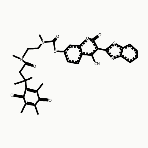 CC1=C(C)C(=O)C(C(C)(C)CC(=O)N(C)CCN(C)C(=O)Oc2ccc3c(C#N)c(-c4nc5ccccc5s4)c(=O)oc3c2)=C(C)C1=O